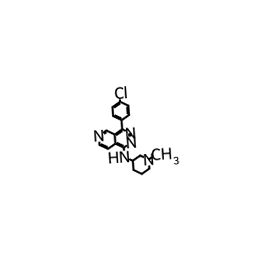 CN1CCCC(Nc2nnc(-c3ccc(Cl)cc3)c3cnccc23)C1